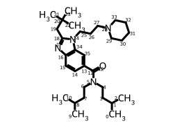 CC(C)CCN(CCC(C)C)C(=O)c1ccc2nc(CC(C)(C)C)n(CCCN3CCCCC3)c2c1